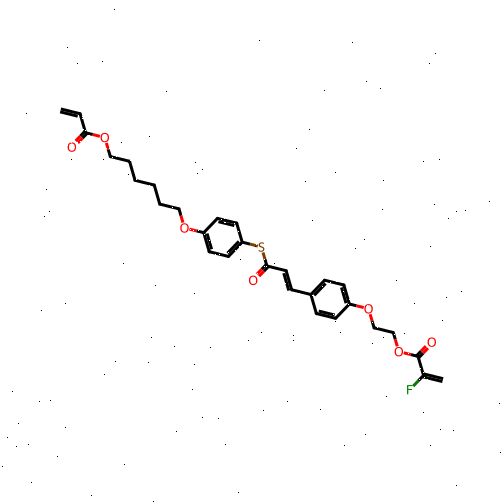 C=CC(=O)OCCCCCCOc1ccc(SC(=O)/C=C/c2ccc(OCCOC(=O)C(=C)F)cc2)cc1